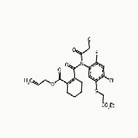 C=CCOC(=O)C1=C(C(=O)N(C(=O)CCl)c2cc(SCC(=O)OCC)c(Cl)cc2F)CCCC1